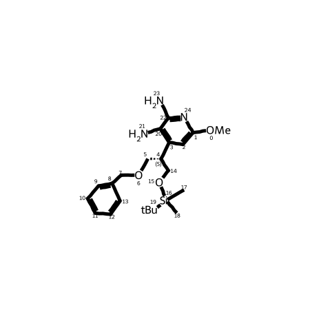 COc1cc([C@@H](COCc2ccccc2)CO[Si](C)(C)C(C)(C)C)c(N)c(N)n1